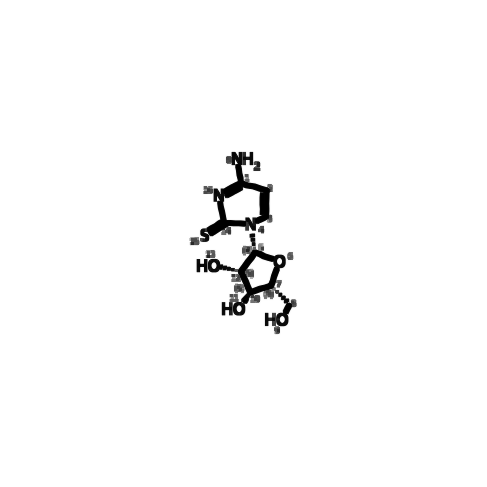 Nc1ccn([C@@H]2O[C@H](CO)[C@@H](O)[C@@H]2O)c(=S)n1